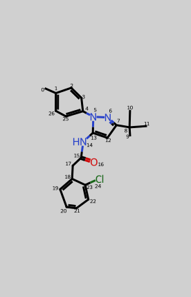 Cc1ccc(-n2nc(C(C)(C)C)cc2NC(=O)Cc2ccccc2Cl)cc1